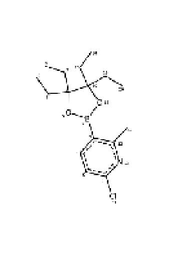 CCC1(CC)OB(c2ccc(Cl)nc2C)OC1(CC)CC